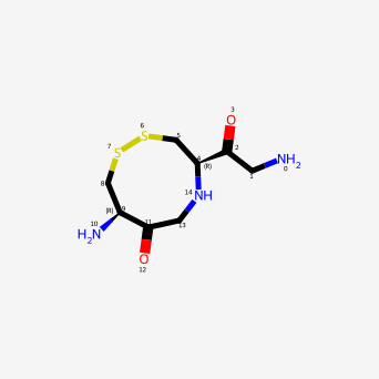 NCC(=O)[C@@H]1CSSC[C@H](N)C(=O)CN1